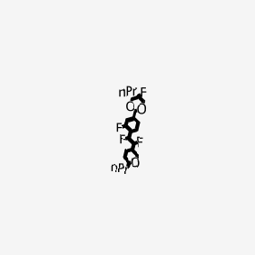 CCCC1CCC(/C(F)=C(\F)c2ccc(C3OCC(F)(CCC)CO3)cc2F)CO1